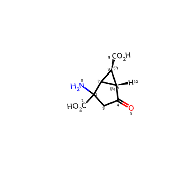 NC1(C(=O)O)CC(=O)[C@@H]2C1[C@H]2C(=O)O